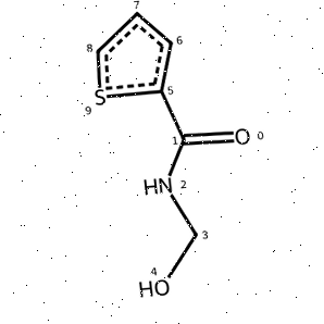 O=C(NCO)c1cccs1